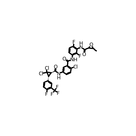 CC1OC1C(=O)Nc1c(F)ccc(NC(=O)c2cc(NC(=O)[C@H]3[C@H](c4ccc(F)c(C(F)(F)F)c4)C3(Cl)Cl)ccc2Cl)c1F